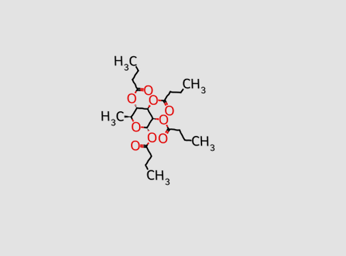 CCCC(=O)O[C@@H]1O[C@@H](C)[C@H](OC(=O)CCC)[C@@H](OC(=O)CCC)[C@H]1OC(=O)CCC